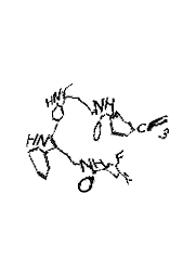 Cc1[nH]c2ccccc2c1CCNC(=O)c1ccc(C(F)(F)F)cc1.Cc1[nH]c2ccccc2c1CCNC(=O)c1ccc(F)c(F)c1